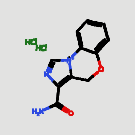 Cl.Cl.NC(=O)C1=C2COc3ccccc3[N+]2C=N1